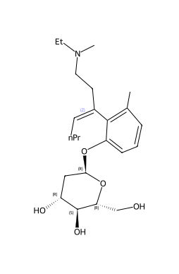 CCC/C=C(/CCN(C)CC)c1c(C)cccc1O[C@@H]1C[C@@H](O)[C@H](O)[C@@H](CO)O1